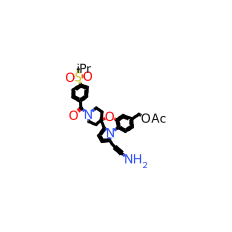 CC(=O)OCc1ccc2c(c1)OC1(CCN(C(=O)c3ccc(S(=O)(=O)C(C)C)cc3)CC1)c1ccc(C#CN)n1-2